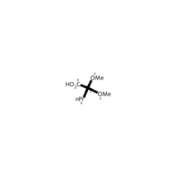 CCCC(OC)(OC)C(=O)O